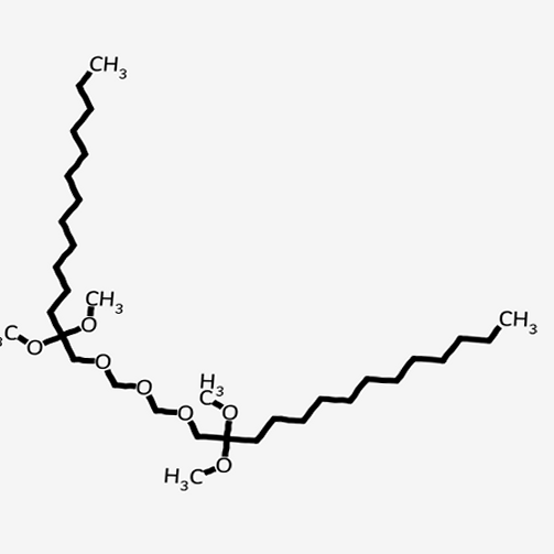 CCCCCCCCCCCCC(COCOCOCC(CCCCCCCCCCCC)(OC)OC)(OC)OC